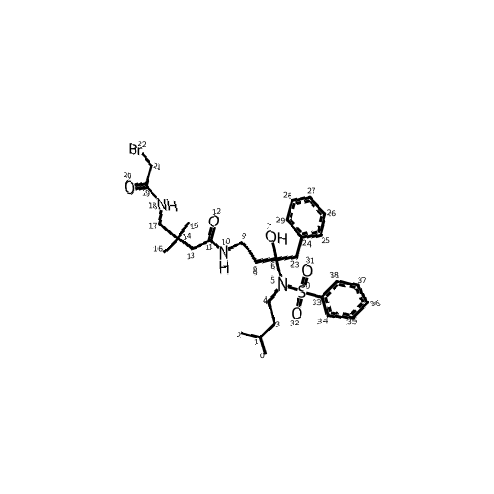 CC(C)CCN(C(O)(CCNC(=O)CC(C)(C)CNC(=O)CBr)Cc1ccccc1)S(=O)(=O)c1ccccc1